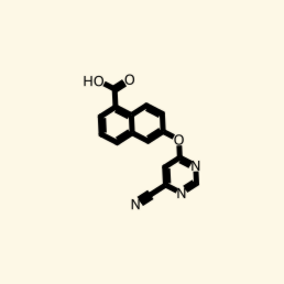 N#Cc1cc(Oc2ccc3c(C(=O)O)cccc3c2)ncn1